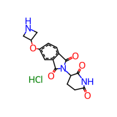 Cl.O=C1CCC(N2C(=O)c3ccc(OC4CNC4)cc3C2=O)C(=O)N1